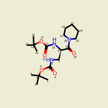 CC(C)(C)OC(=O)NC[C@@H](NC(=O)OC(C)(C)C)C(=O)N1CCCCC1